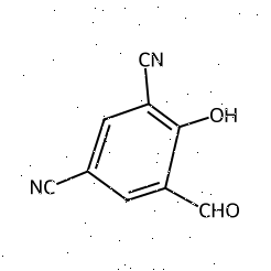 N#Cc1cc(C#N)c(O)c(C=O)c1